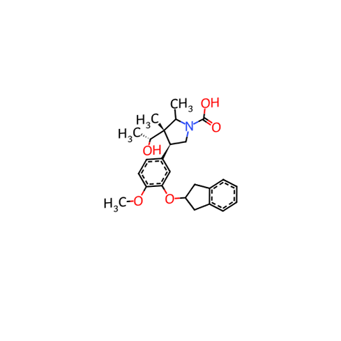 COc1ccc([C@@H]2CN(C(=O)O)C(C)[C@@]2(C)[C@@H](C)O)cc1OC1Cc2ccccc2C1